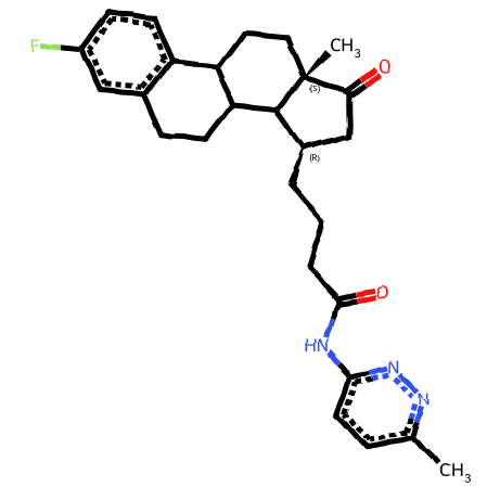 Cc1ccc(NC(=O)CCC[C@@H]2CC(=O)[C@@]3(C)CCC4c5ccc(F)cc5CCC4C23)nn1